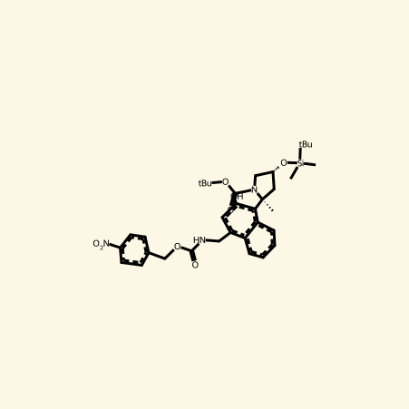 CC(C)(C)OC(=O)N1C[C@H](O[Si](C)(C)C(C)(C)C)C[C@@]1(C)c1c(O)cc(CNC(=O)OCc2ccc([N+](=O)[O-])cc2)c2ccccc12